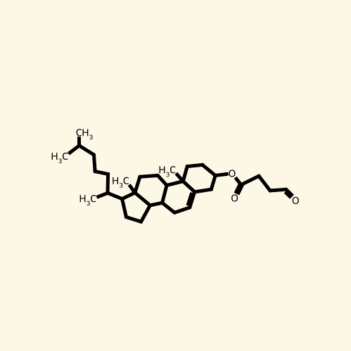 CC(C)CCCC(C)C1CCC2C3CC=C4CC(OC(=O)CCC=O)CCC4(C)C3CCC12C